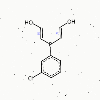 O/C=C/P(/C=C/O)c1cccc(Cl)c1